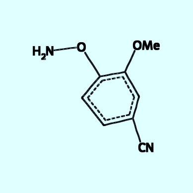 COc1cc(C#N)ccc1ON